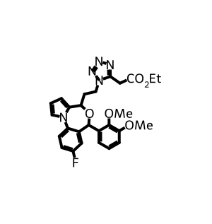 CCOC(=O)Cc1nnnn1CCC1OC(c2cccc(OC)c2OC)c2cc(F)ccc2-n2cccc21